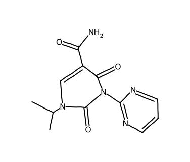 CC(C)n1cc(C(N)=O)c(=O)n(-c2ncccn2)c1=O